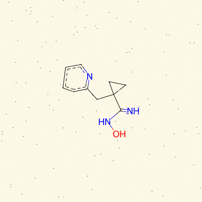 N=C(NO)C1(Cc2ccccn2)CC1